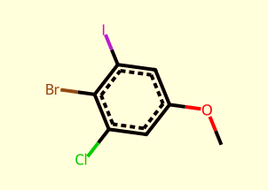 COc1cc(Cl)c(Br)c(I)c1